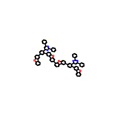 c1ccc(-c2cc(-c3ccc(-c4ccc5oc6ccccc6c5c4)cc3-c3ccc4oc5cc(-c6cccc7c6oc6ccc(-c8ccc(-c9ccc%10oc%11ccccc%11c%10c9)c(-c9cc(-c%10ccccc%10)nc(-c%10ccccc%10)n9)c8)cc67)ccc5c4c3)nc(-c3ccccc3)n2)cc1